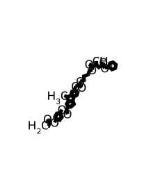 C=CC(=O)Oc1ccc(OC(=O)c2ccc3c(c2)C(C)c2cc(OC(=O)OCCCCOC(=O)C(=C)CC(=O)OC4CCCCC4)ccc2-3)cc1